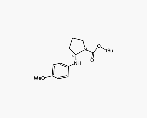 COc1ccc(N[C@@H]2CCCN2C(=O)OC(C)(C)C)cc1